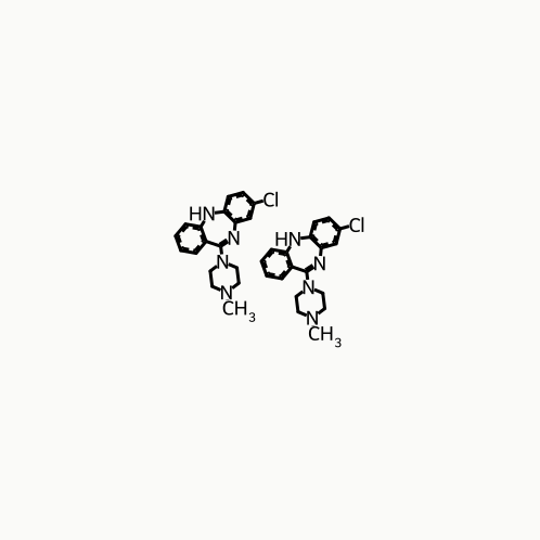 CN1CCN(C2=Nc3cc(Cl)ccc3Nc3ccccc32)CC1.CN1CCN(C2=Nc3cc(Cl)ccc3Nc3ccccc32)CC1